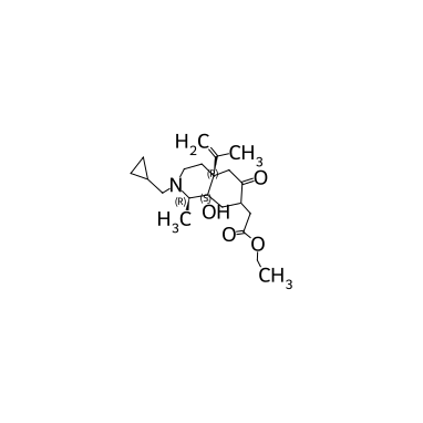 C=C(C)[C@]12CCN(CC3CC3)[C@H](C)[C@]1(O)CC(CC(=O)OCC)C(=O)C2